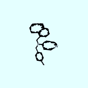 Cc1ccc(CN(Cc2cccc3ccccc23)c2ccncc2)cc1